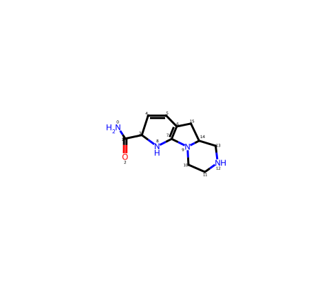 NC(=O)C1C=CC2=C(N1)N1CCNCC1C2